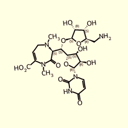 CN1C(=O)[C@H]([C@H](O[C@@H]2O[C@H](CN)[C@@H](O)[C@H]2O)[C@H]2O[C@@H](n3ccc(=O)[nH]c3=O)[C@H](O)[C@@H]2O)N(C)CC=C1C(=O)O